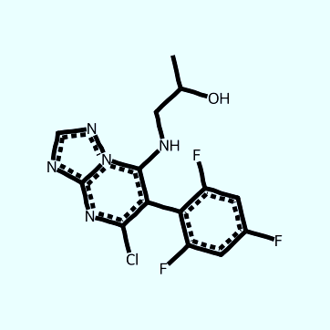 CC(O)CNc1c(-c2c(F)cc(F)cc2F)c(Cl)nc2ncnn12